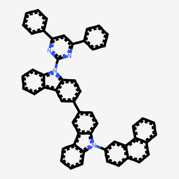 c1ccc(-c2cc(-c3ccccc3)nc(-n3c4ccccc4c4cc(-c5ccc6c(c5)c5ccccc5n6-c5ccc6ccc7ccccc7c6c5)ccc43)n2)cc1